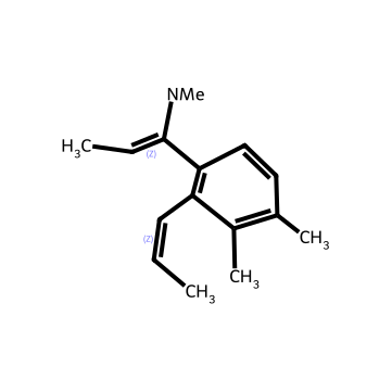 C/C=C\c1c(/C(=C/C)NC)ccc(C)c1C